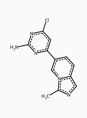 Cc1ncc2ccc(-c3cc(Cl)nc(N)n3)cn12